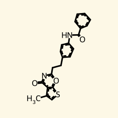 Cc1csc2oc(CCc3ccc(NC(=O)c4ccccc4)cc3)nc(=O)c12